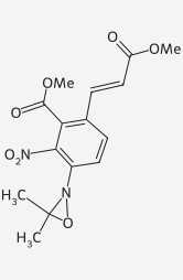 COC(=O)/C=C/c1ccc(N2OC2(C)C)c([N+](=O)[O-])c1C(=O)OC